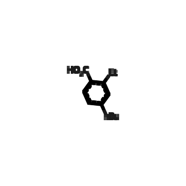 CCCCc1ccc(C(=O)O)c(CC)c1